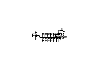 CC(C)O[Si](OC(C)C)(OC(C)C)C(F)(F)C(F)(F)C(F)(F)C(F)(F)C(F)(F)C(F)(F)C(F)(F)CCC(F)(F)F